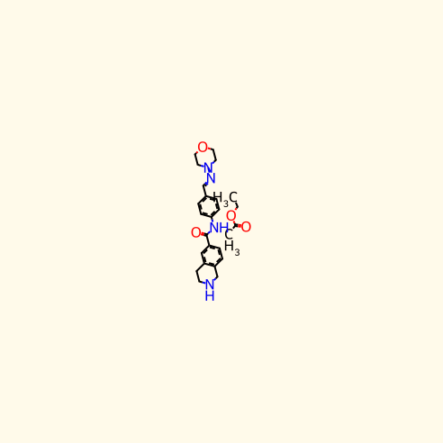 CCOC(C)=O.O=C(Nc1ccc(C=NN2CCOCC2)cc1)c1ccc2c(c1)CCNC2